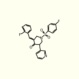 O=C1C(=Cc2ccccc2F)CN(S(=O)(=O)c2ccc(F)cc2)CC1c1cccnc1